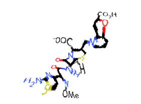 CON=C(C(=O)NC1C(=O)N2C(C(=O)[O-])=C(C[n+]3cccc4oc(C(=O)O)cc43)CS[C@@H]12)c1csc(N)n1